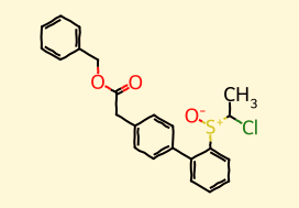 CC(Cl)[S+]([O-])c1ccccc1-c1ccc(CC(=O)OCc2ccccc2)cc1